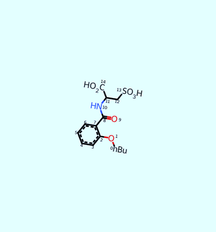 CCCCOc1ccccc1C(=O)NC(CS(=O)(=O)O)C(=O)O